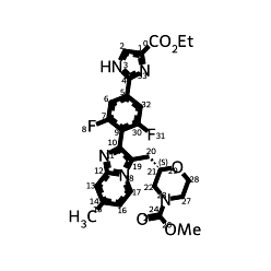 CCOC(=O)c1c[nH]c(-c2cc(F)c(-c3nc4cc(C)ccn4c3C[C@H]3CN(C(=O)OC)CCO3)c(F)c2)n1